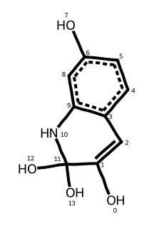 OC1=Cc2ccc(O)cc2NC1(O)O